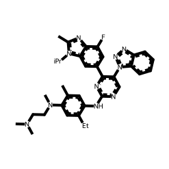 CCc1cc(N(C)CCN(C)C)c(C)cc1Nc1ncc(-n2nnc3ccccc32)c(-c2cc(F)c3nc(C)n(C(C)C)c3c2)n1